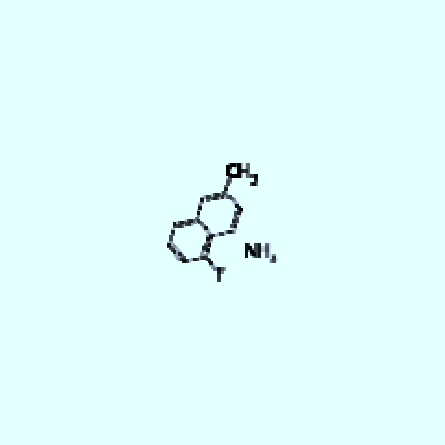 Cc1ccc2c(F)cccc2c1.N